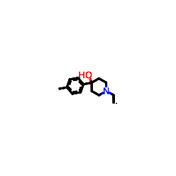 [CH2]CN1CCC(O)(c2ccc(C)cc2)CC1